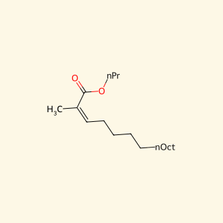 CCCCCCCCCCCCC=C(C)C(=O)OCCC